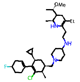 CCC1=C(CCNC2CCN(C[C@@H]3C[C@H](C4CC4)C(C4=CC[C@H](F)CC4)=C(Cl)[C@@H]3C)CC2)N[C@@H](C)C([C@H](C)OC)C1